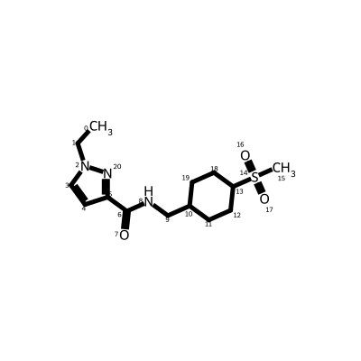 CCn1ccc(C(=O)NCC2CCC(S(C)(=O)=O)CC2)n1